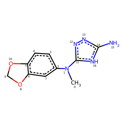 CN(c1ccc2c(c1)OCO2)c1nnc(N)[nH]1